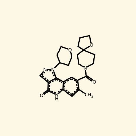 Cc1cc2[nH]c(=O)c3cnn(C4CCOCC4)c3c2cc1C(=O)N1CCC2(CCCO2)CC1